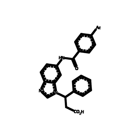 CC(=O)c1ccc(C(=O)Nc2ccc3ncn(C(CC(=O)O)c4ccccc4)c3c2)cc1